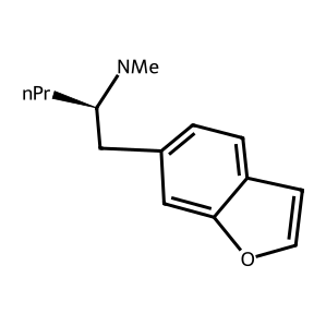 CCC[C@H](Cc1ccc2ccoc2c1)NC